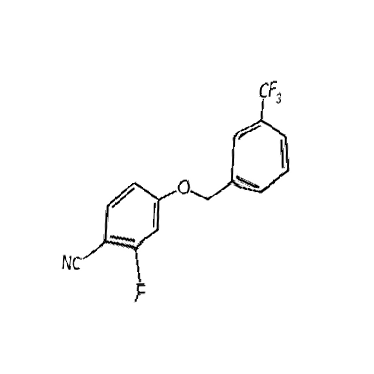 N#Cc1ccc(OCc2cccc(C(F)(F)F)c2)cc1F